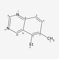 CCc1c(C)ccc2ncncc12